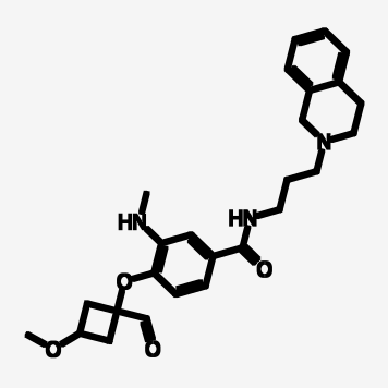 CNc1cc(C(=O)NCCCN2CCc3ccccc3C2)ccc1OC1(C=O)CC(OC)C1